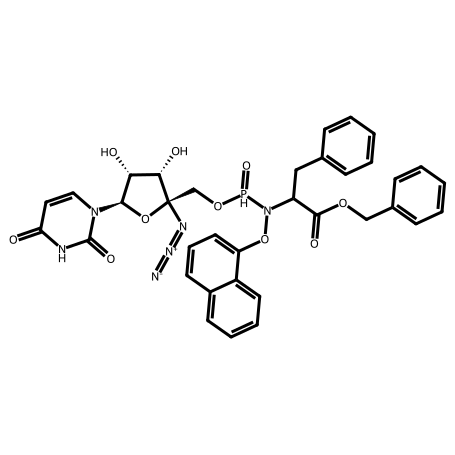 [N-]=[N+]=N[C@]1(CO[PH](=O)N(Oc2cccc3ccccc23)C(Cc2ccccc2)C(=O)OCc2ccccc2)O[C@@H](n2ccc(=O)[nH]c2=O)[C@H](O)[C@@H]1O